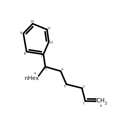 C=CCCCC(CCCCCC)c1ccccc1